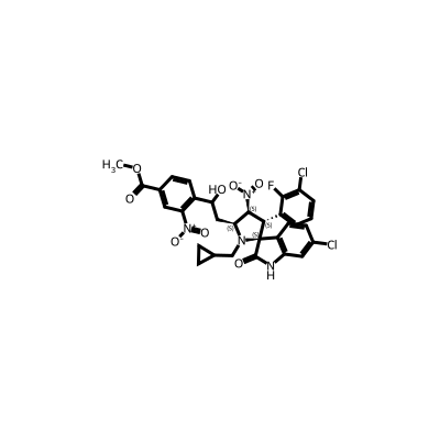 COC(=O)c1ccc(C(O)C[C@H]2[C@@H]([N+](=O)[O-])[C@H](c3cccc(Cl)c3F)[C@]3(C(=O)Nc4cc(Cl)ccc43)N2CC2CC2)c([N+](=O)[O-])c1